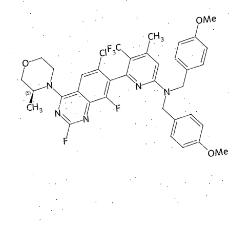 COc1ccc(CN(Cc2ccc(OC)cc2)c2cc(C)c(C(F)(F)F)c(-c3c(Cl)cc4c(N5CCOC[C@@H]5C)nc(F)nc4c3F)n2)cc1